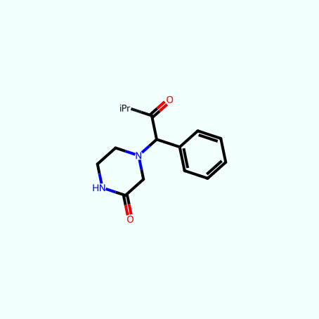 CC(C)C(=O)C(c1ccccc1)N1CCNC(=O)C1